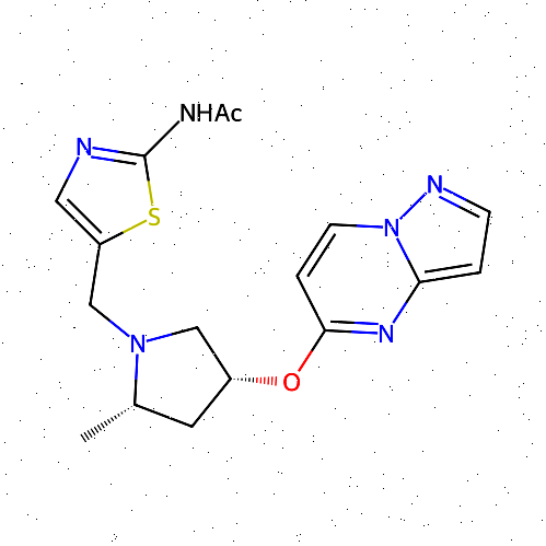 CC(=O)Nc1ncc(CN2C[C@H](Oc3ccn4nccc4n3)C[C@@H]2C)s1